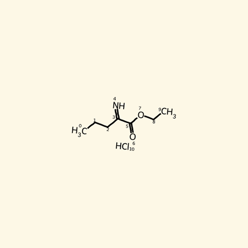 CCCC(=N)C(=O)OCC.Cl